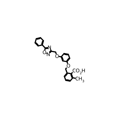 Cc1cccc(COc2cccc(OCc3noc(-c4ccccc4)n3)c2)c1C(=O)O